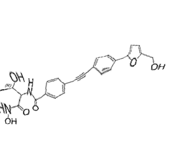 C[C@@H](O)C(NC(=O)c1ccc(C#Cc2ccc(-c3ccc(CO)o3)cc2)cc1)C(=O)NO